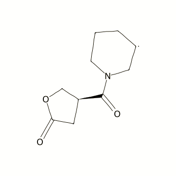 O=C1C[C@H](C(=O)N2C[CH]CCC2)CO1